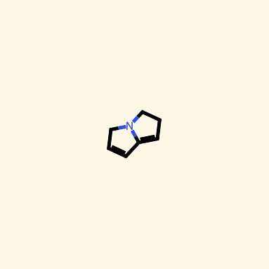 C1=CC2=CCCN2C1